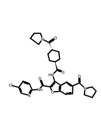 O=C(Nc1ccc(Cl)cn1)c1oc2ccc(C(=O)N3CCCC3)cc2c1NC(=O)[C@H]1CC[C@H](C(=O)N2CCCC2)CC1